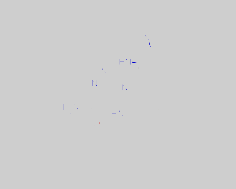 NC(=O)c1nnc(N[C@@H]2CCCC[C@@H]2N)nc1Nc1csc2ccccc12